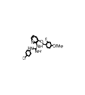 COc1ccc(COc2cccnc2NC(=N)Nc2ccc(Cl)cc2)c(F)c1